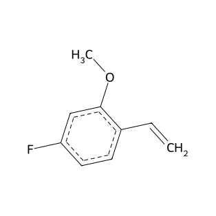 C=Cc1ccc(F)cc1OC